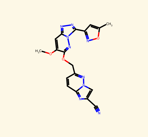 COc1cc2nnc(-c3cc(C)on3)n2nc1OCc1ccc2nc(C#N)cn2n1